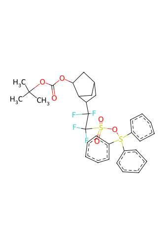 CC(C)(C)OC(=O)OC1CC2CC1C(C(F)(F)C(F)(F)S(=O)(=O)OS(c1ccccc1)(c1ccccc1)c1ccccc1)C2